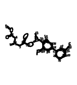 COC(=O)CN(C)CC(=O)OB(C)c1ccc(-c2cccc(F)c2)cc1F